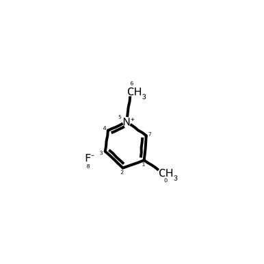 Cc1ccc[n+](C)c1.[F-]